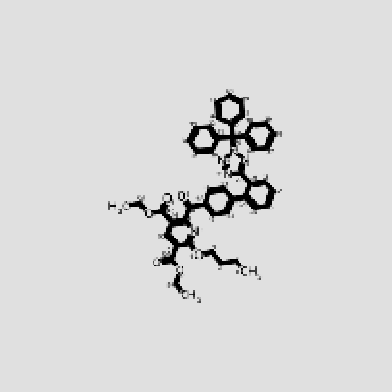 CCCCOc1nc(C(=O)c2ccc(-c3ccccc3-c3nnn(C(c4ccccc4)(c4ccccc4)c4ccccc4)n3)cc2)c(C(=O)OCC)cc1C(=O)OCC